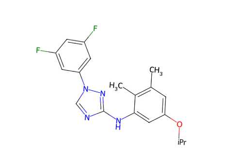 Cc1cc(OC(C)C)cc(Nc2ncn(-c3cc(F)cc(F)c3)n2)c1C